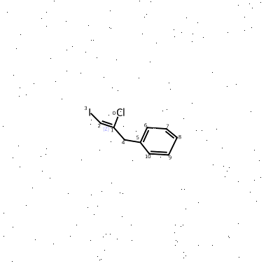 Cl/C(=C\I)Cc1ccccc1